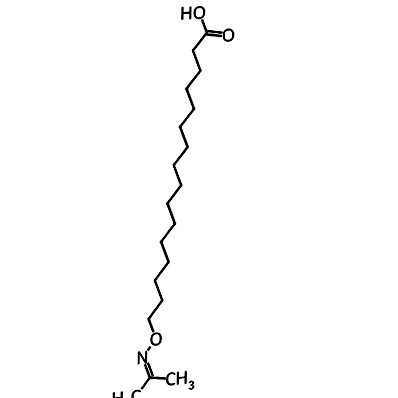 CC(C)=NOCCCCCCCCCCCCCCCC(=O)O